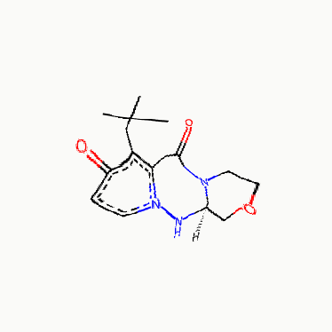 CC(C)(C)c1c2n(ccc1=O)N[C@@H]1COCCN1C2=O